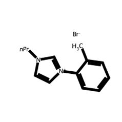 CCCn1cc[n+](-c2ccccc2C)c1.[Br-]